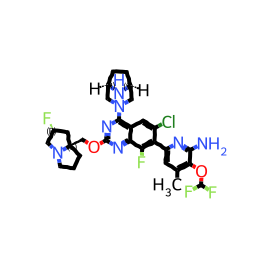 Cc1cc(-c2c(Cl)cc3c(N4C[C@H]5CC[C@@H](C4)N5)nc(OC[C@@]45CCCN4C[C@H](F)C5)nc3c2F)nc(N)c1OC(F)F